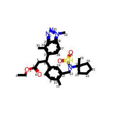 CCOC(=O)CC(c1ccc(C)c(CN([SH](=O)=O)C2(C)CCCC2)c1)c1ccc2c(nnn2C)c1C